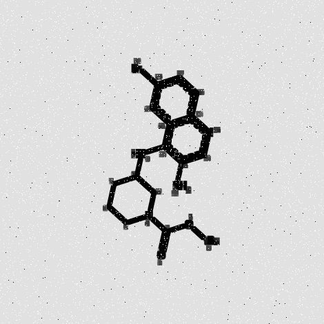 CC(C)(C)OC(=O)N1CCCC(Nc2c(N)cnc3ccc(Br)cc23)C1